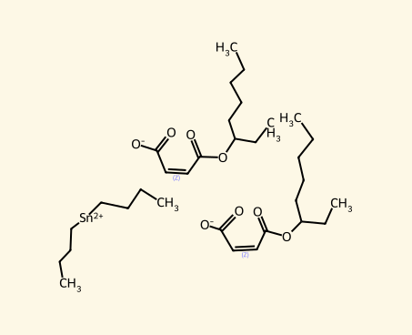 CCCCCC(CC)OC(=O)/C=C\C(=O)[O-].CCCCCC(CC)OC(=O)/C=C\C(=O)[O-].CCC[CH2][Sn+2][CH2]CCC